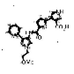 COCCn1cc(NC(=O)c2ccc(-c3c[nH]nc3C(=O)O)o2)c(-c2ccccn2)n1